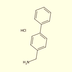 Cl.NCc1ccc(-c2ccccc2)cc1